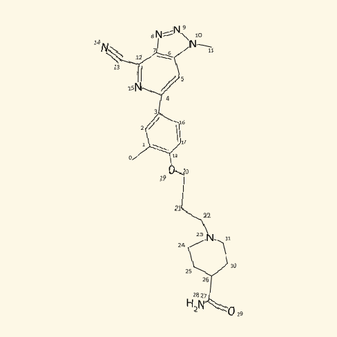 Cc1cc(-c2cc3c(nnn3C)c(C#N)n2)ccc1OCCCN1CCC(C(N)=O)CC1